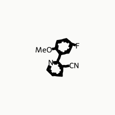 COc1ccc(F)cc1-c1ncccc1C#N